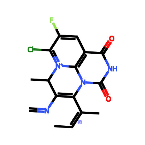 C=NC1=C(/C(C)=C\C)n2c(=O)[nH]c(=O)c3cc(F)c(Cl)[n+](c32)C1C